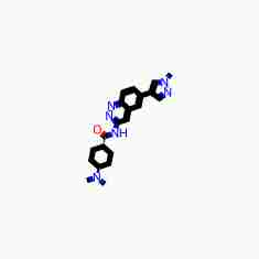 Cn1cc(-c2ccc3nnc(NC(=O)[C@H]4CC[C@H](N(C)C)CC4)cc3c2)cn1